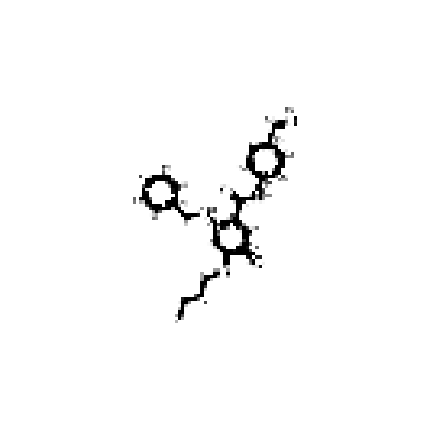 CCCCOc1cn(OCc2ccccc2)c(C(=O)Nc2ccc(C=O)cc2)cc1=O